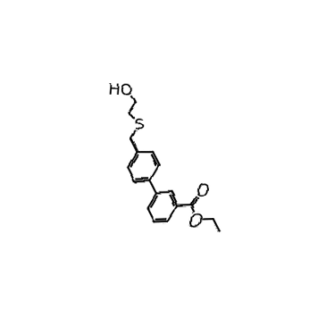 CCOC(=O)c1cccc(-c2ccc(CSCCO)cc2)c1